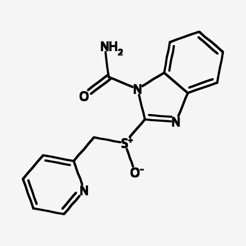 NC(=O)n1c([S+]([O-])Cc2ccccn2)nc2ccccc21